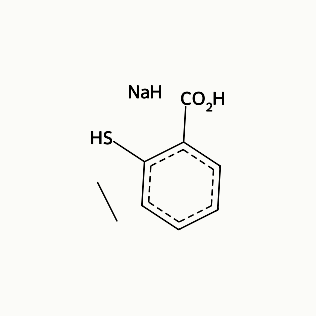 CC.O=C(O)c1ccccc1S.[NaH]